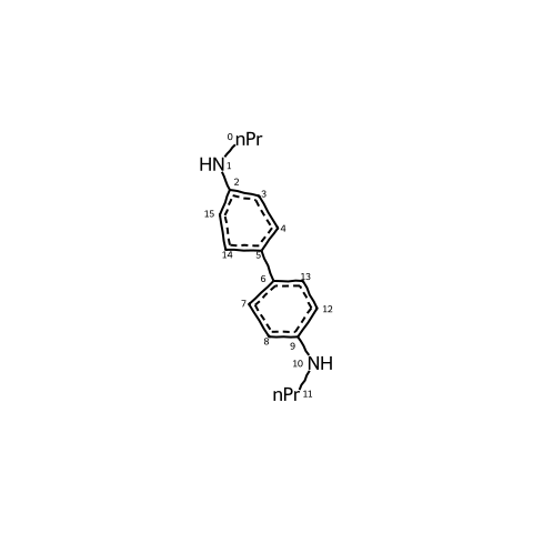 CCCNc1ccc(-c2ccc(NCCC)cc2)cc1